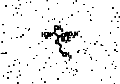 C=CCOC(=O)C(C)N.CS(=O)(=O)O